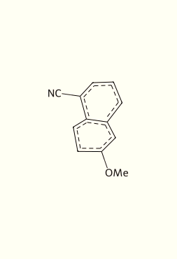 COc1ccc2c(C#N)cccc2c1